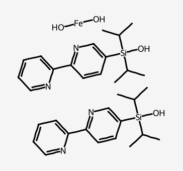 CC(C)[Si](O)(c1ccc(-c2ccccn2)nc1)C(C)C.CC(C)[Si](O)(c1ccc(-c2ccccn2)nc1)C(C)C.[OH][Fe][OH]